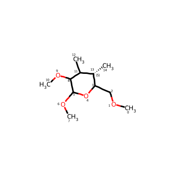 COCC1OC(OC)C(OC)C(C)[C@@H]1C